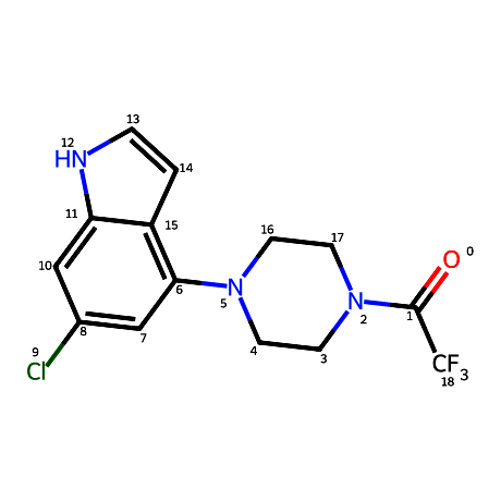 O=C(N1CCN(c2cc(Cl)cc3[nH]ccc23)CC1)C(F)(F)F